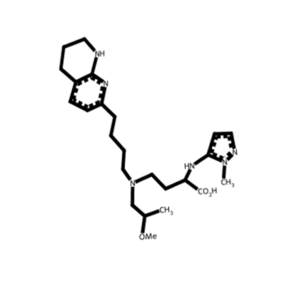 COC(C)CN(CCCCc1ccc2c(n1)NCCC2)CCC(Nc1ccnn1C)C(=O)O